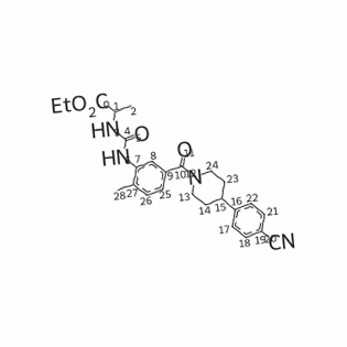 CCOC(=O)C(C)NC(=O)Nc1cc(C(=O)N2CCC(c3ccc(C#N)cc3)CC2)ccc1C